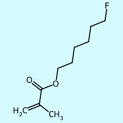 C=C(C)C(=O)OCCCCCCF